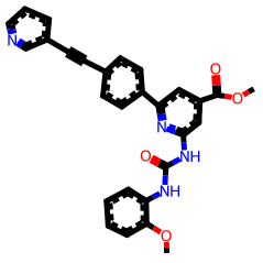 COC(=O)c1cc(NC(=O)Nc2ccccc2OC)nc(-c2ccc(C#Cc3cccnc3)cc2)c1